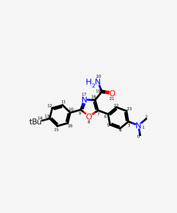 CN(C)c1ccc(-c2oc(-c3ccc(C(C)(C)C)cc3)nc2C(N)=O)cc1